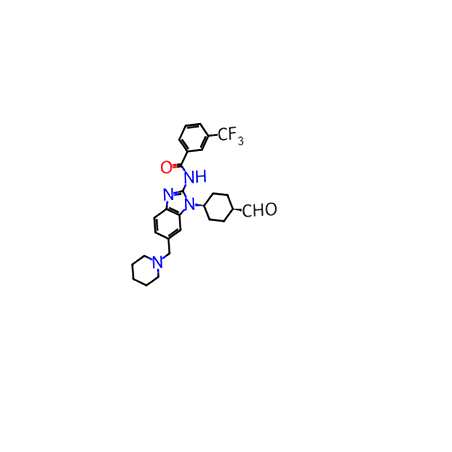 O=C[C@H]1CC[C@@H](n2c(NC(=O)c3cccc(C(F)(F)F)c3)nc3ccc(CN4CCCCC4)cc32)CC1